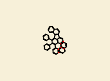 c1ccc(-c2ccccc2-c2c(-c3ccccc3)c(-c3ccccc3)c3c4c(ccc(-c5ccccc5)c24)-c2ccc4ccccc4c2-3)cc1